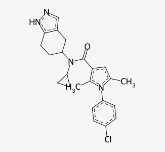 Cc1cc(C(=O)N(C2CC2)C2CCc3[nH]ncc3C2)c(C)n1-c1ccc(Cl)cc1